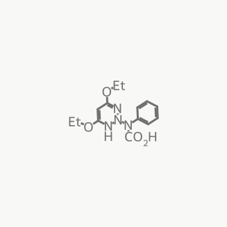 CCOC1=CC(OCC)=NN(N(C(=O)O)c2ccccc2)N1